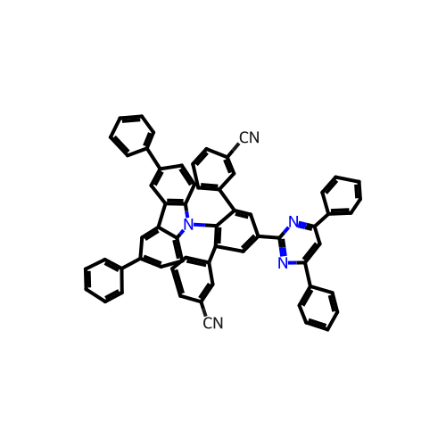 N#Cc1cccc(-c2cc(-c3nc(-c4ccccc4)cc(-c4ccccc4)n3)cc(-c3cccc(C#N)c3)c2-n2c3ccc(-c4ccccc4)cc3c3cc(-c4ccccc4)ccc32)c1